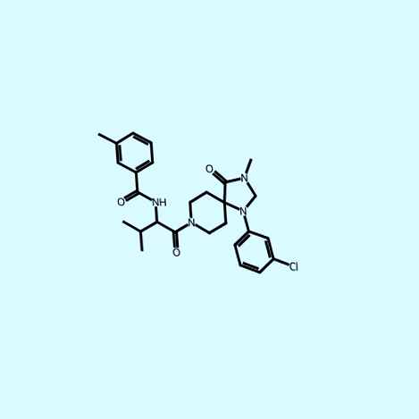 Cc1cccc(C(=O)NC(C(=O)N2CCC3(CC2)C(=O)N(C)CN3c2cccc(Cl)c2)C(C)C)c1